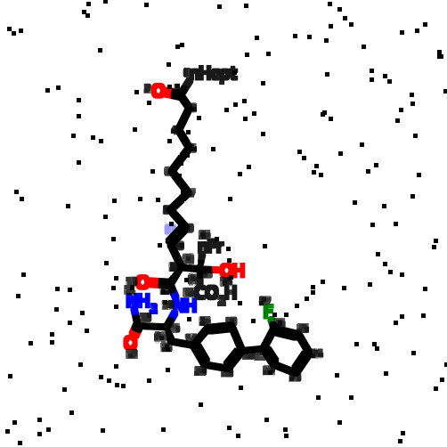 CCCCCCCC(=O)CCCCCC/C=C/[C@H](C(=O)N[C@@H](Cc1ccc(-c2ccccc2F)cc1)C(N)=O)[C@@](O)(CCC)C(=O)O